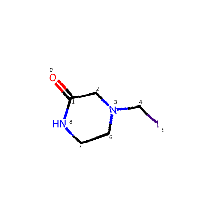 O=C1CN(CI)CCN1